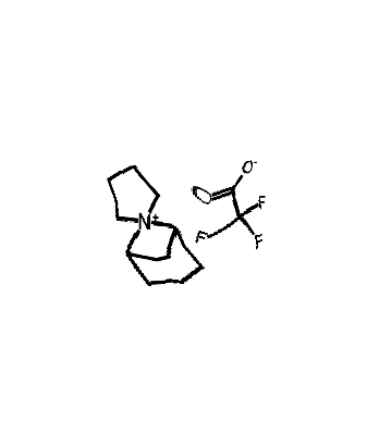 C1CC2CCC(C1)[N+]21CCCC1.O=C([O-])C(F)(F)F